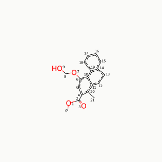 COC(=O)c1cc(OCO)c2c(ccc3ccccc32)c1C